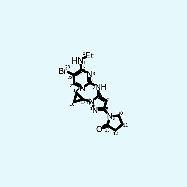 CCNc1nc(Nc2cc(N3CCCC3=O)nn2C2CC2)ncc1Br